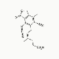 C#Cc1c(C)c2c(c(N=C=O)c1CC=C(C)CCC(=O)O)C(=O)OC2